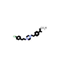 CC(=CC(=O)O)c1ccc(CCN2CCN(CC=Cc3ccc(Cl)cc3)CC2)cc1